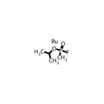 CC(C)OP(C)(=O)F.[Ru]